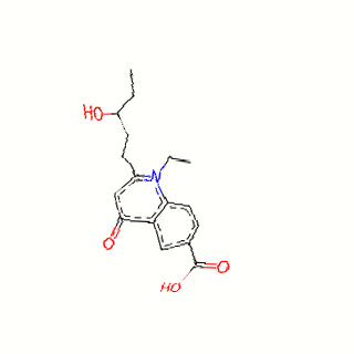 CCC(O)CCc1cc(=O)c2cc(C(=O)O)ccc2n1CC